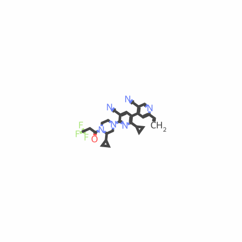 C=Cc1cc(-c2cc(C#N)c(N3CCN(C(=O)CC(F)(F)F)C(C4CC4)C3)nc2C2CC2)c(C#N)cn1